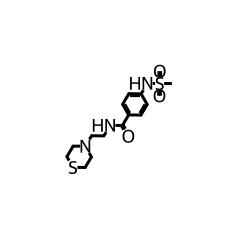 CS(=O)(=O)Nc1ccc(C(=O)NCCN2CCSCC2)cc1